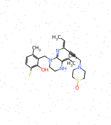 C/C=C(C#CCN1CC[S+]([O-])CC1)\N=C1/C(=C(C)C)NCCN1Cc1c(C)ccc(F)c1O